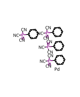 N#C[PH](C#N)(C#N)c1ccccc1.N#C[PH](C#N)(C#N)c1ccccc1.N#C[PH](C#N)(C#N)c1ccccc1.N#C[PH](C#N)(C#N)c1ccccc1.[Pd]